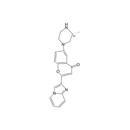 C[C@@H]1CN(c2ccc3oc(-c4cn5ccccc5n4)cc(=O)c3c2)CCN1